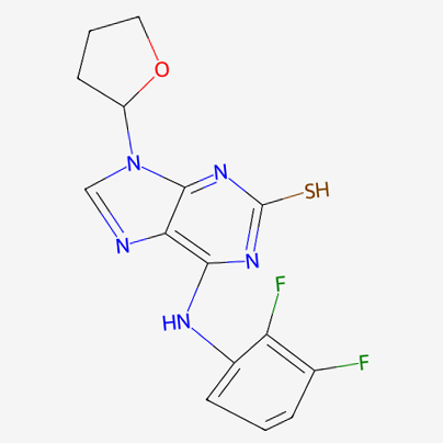 Fc1cccc(Nc2nc(S)nc3c2ncn3C2CCCO2)c1F